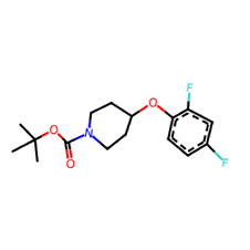 CC(C)(C)OC(=O)N1CCC(Oc2ccc(F)cc2F)CC1